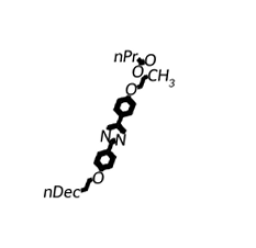 CCCCCCCCCCCCOc1ccc(-c2ncc(-c3ccc(OCC(C)OC(=O)CCC)cc3)cn2)cc1